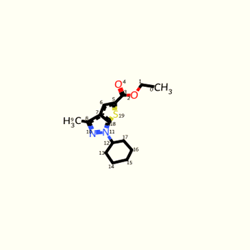 CCOC(=O)c1cc2c(C)nn(C3CCCCC3)c2s1